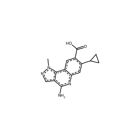 Cn1ncc2c(N)nc3cc(C4CC4)c(C(=O)O)cc3c21